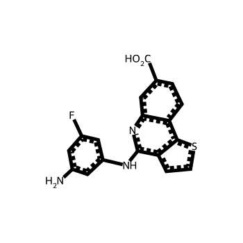 Nc1cc(F)cc(Nc2nc3cc(C(=O)O)ccc3c3sccc23)c1